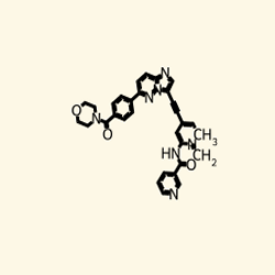 C=N/C(=C\C(C#Cc1cnc2ccc(-c3ccc(C(=O)N4CCOCC4)cc3)nn12)=C/C)NC(=O)c1cccnc1